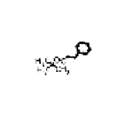 CC(C)(C)OOCCc1ccccc1